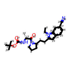 CCn1c(CCC2CCCN2C(=O)[C@@H](C)NC(=O)OC(C)(C)C)cc2ccc(C#N)cc21